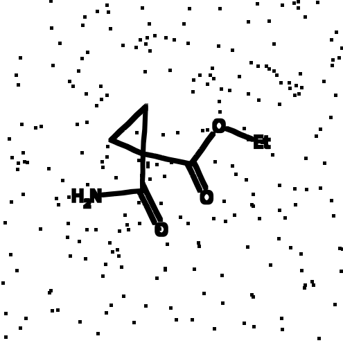 CCOC(=O)C1(C(N)=O)CC1